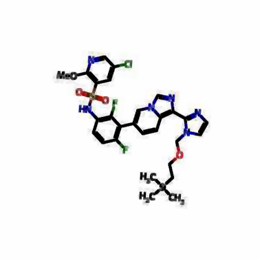 COc1ncc(Cl)cc1S(=O)(=O)Nc1ccc(F)c(-c2ccc3c(-c4nccn4COCC[Si](C)(C)C)ncn3c2)c1F